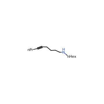 CCCC#CCCCCNCCCCCC